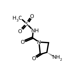 CS(=O)(=O)NC(=O)N1C[C@H](N)C1=O